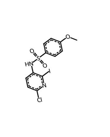 COc1ccc(S(=O)(=O)Nc2ccc(Cl)nc2I)cc1